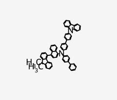 CC1(C)c2ccccc2-c2c(-c3ccc(N(c4ccc(-c5ccccc5)cc4)c4ccc(-c5ccc(-n6c7ccccc7c7ccccc76)cc5)cc4)c4ccccc34)cccc21